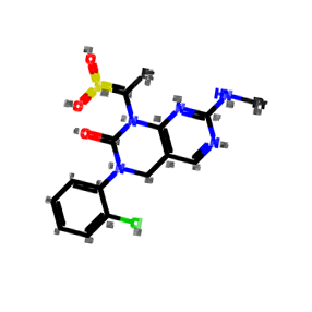 CCC(N1C(=O)N(c2ccccc2Cl)Cc2cnc(NC(C)C)nc21)=S(=O)=O